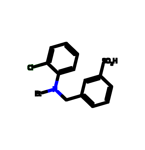 CCN(Cc1cccc(S(=O)(=O)O)c1)c1ccccc1Cl